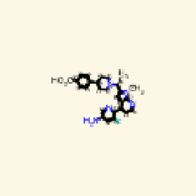 C[C@@H](c1cc2c(-c3ncc(N)cc3F)ccnc2n1C)N1CCC(c2ccc(C(=O)O)cc2)CC1